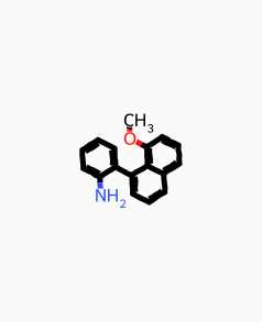 COc1cccc2cccc(-c3ccccc3N)c12